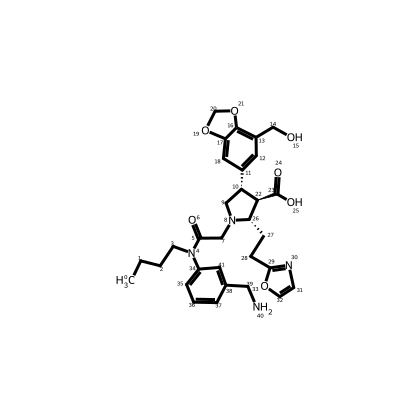 CCCCN(C(=O)CN1C[C@H](c2cc(CO)c3c(c2)OCO3)[C@@H](C(=O)O)[C@@H]1CCc1ncco1)c1cccc(CN)c1